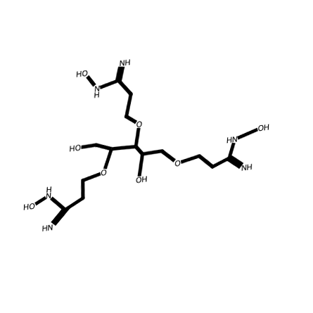 N=C(CCOCC(O)C(OCCC(=N)NO)C(CO)OCCC(=N)NO)NO